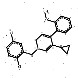 COc1ccccc1C1=CCN(Cc2cc(Cl)ccc2Cl)C=C1C1CC1